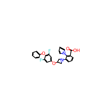 O=C(O)c1cccc(N2CC(Oc3cc(F)c(Oc4ccccc4)c(F)c3)C2)c1-n1cccc1